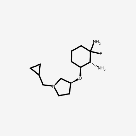 N[C@@H]1[C@@H](O[C@H]2CCN(CC3CC3)C2)CCCC1(N)F